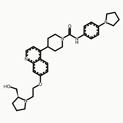 O=C(Nc1ccc(N2CCCC2)cc1)N1CCC(c2ccnc3cc(OCCN4CCC[C@H]4CO)ccc23)CC1